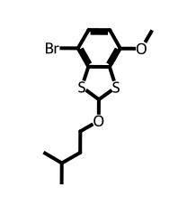 COc1ccc(Br)c2c1SC(OCCC(C)C)S2